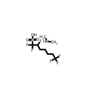 CNC.O=S(=O)(O)C(F)(F)C(F)CCCCC(F)(F)F